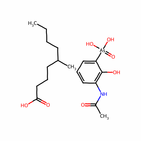 CC(=O)Nc1cccc([As](=O)(O)O)c1O.CCCCC(C)CCCC(=O)O